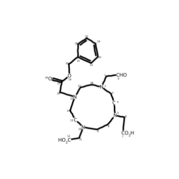 O=CCN1CCN(CC(=O)O)CCN(CC(=O)O)CCN(CC(=O)OCc2ccccc2)CC1